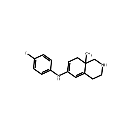 CC12CC=C(Nc3ccc(F)cc3)C=C1CCNC2